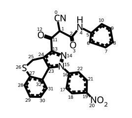 N#CC(C(=O)Nc1ccccc1)C(=O)c1nn(-c2ccc([N+](=O)[O-])cc2)c2c1CSc1ccccc1-2